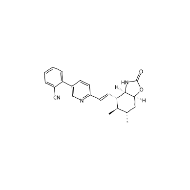 C[C@H]1[C@H](/C=C/c2ccc(-c3ccccc3C#N)cn2)[C@H]2NC(=O)O[C@H]2C[C@@H]1C